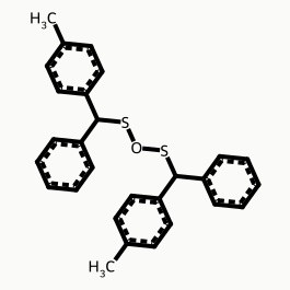 Cc1ccc(C(SOSC(c2ccccc2)c2ccc(C)cc2)c2ccccc2)cc1